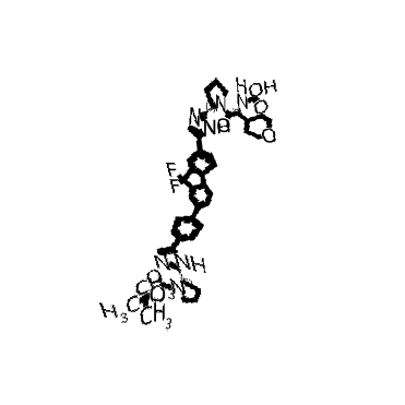 CC(C)(C)OC(=O)N1CCC[C@H]1c1ncc(-c2ccc(-c3ccc4c(c3)C(F)(F)c3cc(-c5cnc([C@@H]6CCCN6C(=O)[C@@H](NC(=O)O)C6CCOCC6)[nH]5)ccc3-4)cc2)[nH]1